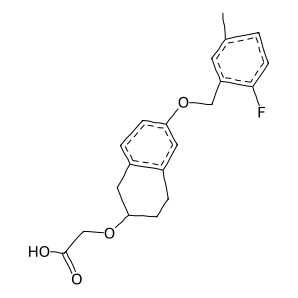 Cc1ccc(F)c(COc2ccc3c(c2)CCC(OCC(=O)O)C3)c1